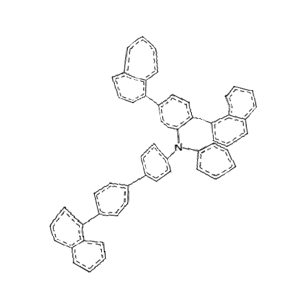 c1ccc(N(c2ccc(-c3ccc(-c4cccc5ccccc45)cc3)cc2)c2cc(-c3cccc4ccccc34)ccc2-c2cccc3ccccc23)cc1